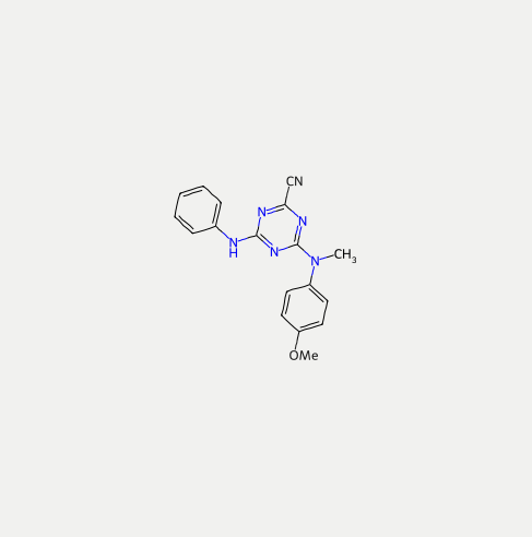 COc1ccc(N(C)c2nc(C#N)nc(Nc3ccccc3)n2)cc1